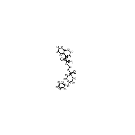 O=C(CCCNC(=O)N1CCCC2CCCCC21)N1CCN(Cc2ccccc2)CC1